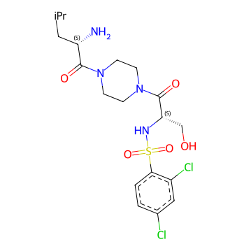 CC(C)C[C@H](N)C(=O)N1CCN(C(=O)[C@H](CO)NS(=O)(=O)c2ccc(Cl)cc2Cl)CC1